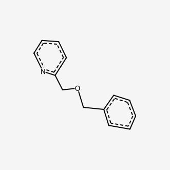 c1ccc(COCc2ccccn2)cc1